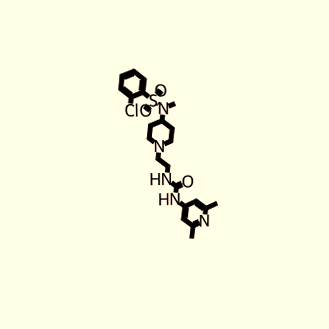 Cc1cc(NC(=O)NCCN2CCC(N(C)S(=O)(=O)c3ccccc3Cl)CC2)cc(C)n1